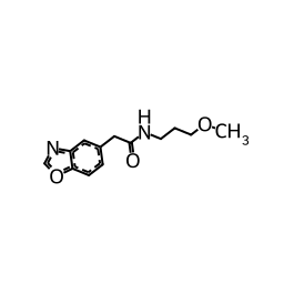 COCCCNC(=O)Cc1ccc2ocnc2c1